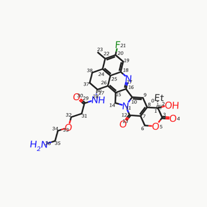 CC[C@]1(O)C(=O)OCc2c1cc1n(c2=O)Cc2c-1nc1cc(F)c(C)c3c1c2[C@H](NC(=O)CCOCCN)CC3